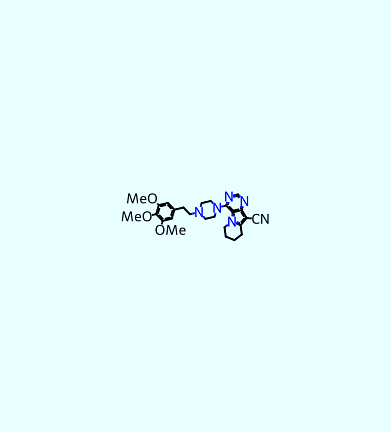 COc1cc(CCN2CCN(c3ncnc4c(C#N)c5n(c34)CCCC5)CC2)cc(OC)c1OC